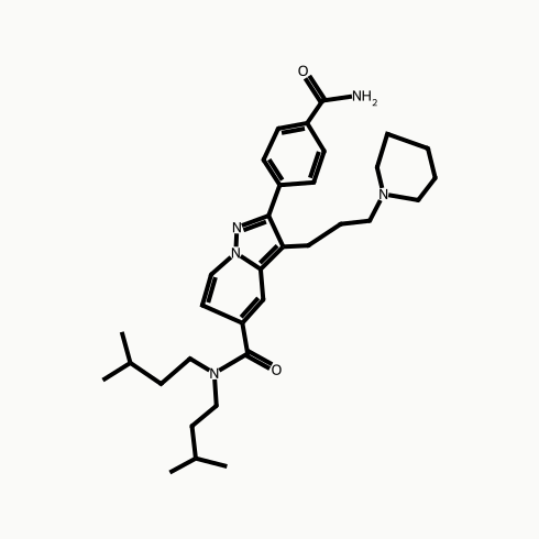 CC(C)CCN(CCC(C)C)C(=O)c1ccn2nc(-c3ccc(C(N)=O)cc3)c(CCCN3CCCCC3)c2c1